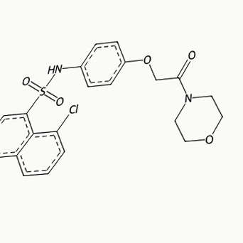 O=C(COc1ccc(NS(=O)(=O)c2cccc3cccc(Cl)c23)cc1)N1CCOCC1